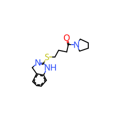 O=C(CCCSC1=NCc2ccccc2N1)N1CCCC1